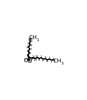 CCCCCCCCCCC/C=C1\OC(=O)C1CCCCCCCCCC